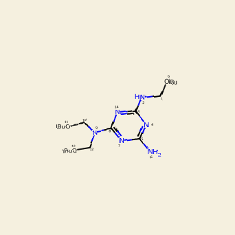 CC(C)COCNc1nc(N)nc(N(COCC(C)C)COCC(C)C)n1